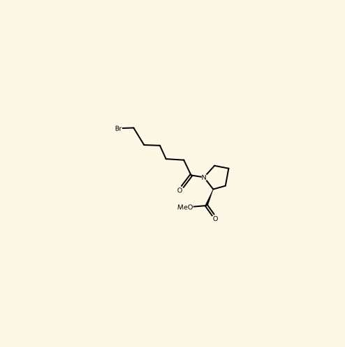 COC(=O)[C@@H]1CCCN1C(=O)CCCCCBr